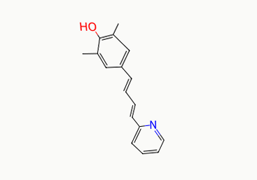 Cc1cc(/C=C/C=C/c2ccccn2)cc(C)c1O